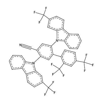 N#Cc1cc(-n2c3ccccc3c3ccc(C(F)(F)F)cc32)c(-c2ccc(C(F)(F)F)cc2C(F)(F)F)cc1-n1c2ccccc2c2ccc(C(F)(F)F)cc21